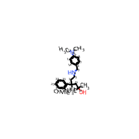 CCC(CCNCc1ccc(N(C)C)cc1)(CC(C)(C)O)c1ccccc1OC